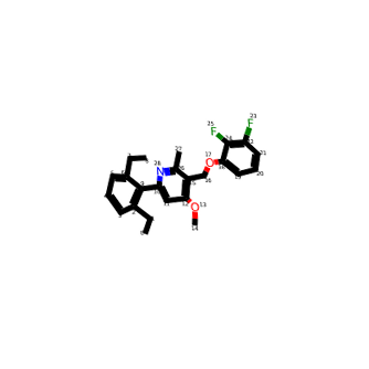 CCc1cccc(CC)c1-c1cc(OC)c(COc2cccc(F)c2F)c(C)n1